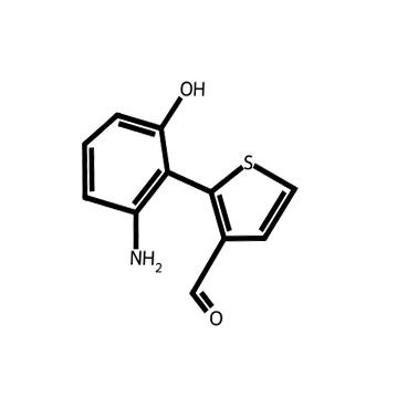 Nc1cccc(O)c1-c1sccc1C=O